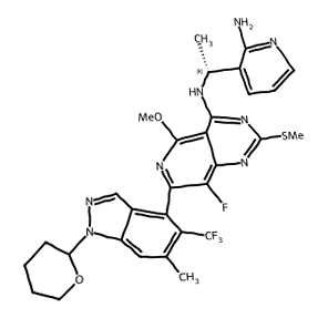 COc1nc(-c2c(C(F)(F)F)c(C)cc3c2cnn3C2CCCCO2)c(F)c2nc(SC)nc(N[C@H](C)c3cccnc3N)c12